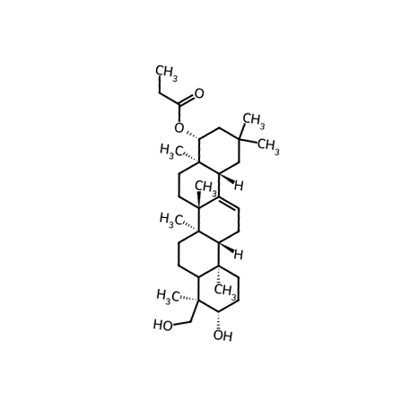 CCC(=O)O[C@@H]1CC(C)(C)C[C@@H]2C3=CC[C@@H]4[C@@]5(C)CC[C@H](O)[C@@](C)(CO)C5CC[C@@]4(C)[C@]3(C)CC[C@]21C